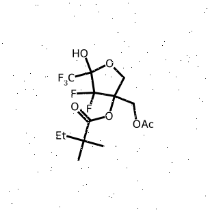 CCC(C)(C)C(=O)OC1(COC(C)=O)COC(O)(C(F)(F)F)C1(F)F